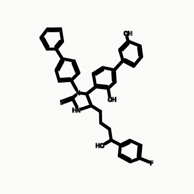 Oc1cccc(-c2ccc(C3C(CCCC(O)c4ccc(F)cc4)NC(=S)N3c3ccc(-c4ccccc4)cc3)c(O)c2)c1